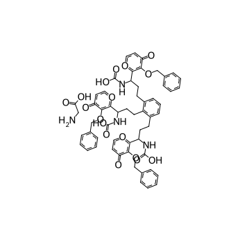 NCC(=O)O.O=C(O)NC(CCc1cccc(CCC(NC(=O)O)c2occc(=O)c2OCc2ccccc2)c1CCC(NC(=O)O)c1occc(=O)c1OCc1ccccc1)c1occc(=O)c1OCc1ccccc1